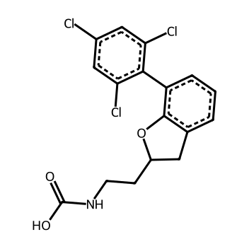 O=C(O)NCCC1Cc2cccc(-c3c(Cl)cc(Cl)cc3Cl)c2O1